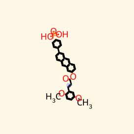 COc1ccc(OC)c(/C=C/C(=O)Oc2ccc3cc4cc(-c5ccc(P(=O)(O)O)cc5)ccc4cc3c2)c1